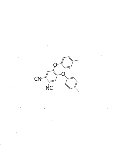 [C-]#[N+]c1cc(Oc2ccc(C)cc2)c(Oc2ccc(C)cc2)cc1[N+]#[C-]